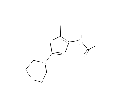 N#Cc1sc(N2CCOCC2)nc1NC(=O)C(F)(F)F